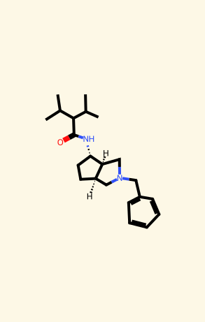 CC(C)C(C(=O)N[C@H]1CC[C@@H]2CN(Cc3ccccc3)C[C@@H]21)C(C)C